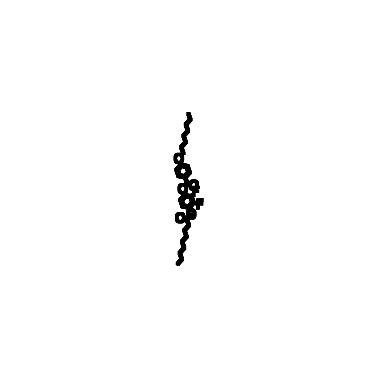 CCCCCCCCOc1ccc(C(=O)Oc2ccc(OC(=O)CCCCCCCC)c(F)c2F)cc1